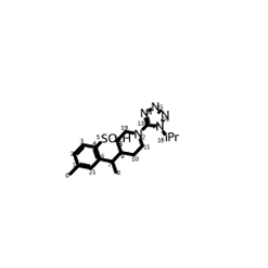 Cc1ccc(S(=O)(=O)O)c(C(C)C2CCN(c3nnnn3C(C)C)CC2)c1